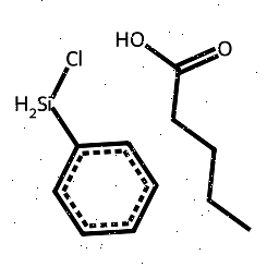 CCCCC(=O)O.Cl[SiH2]c1ccccc1